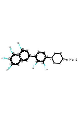 CCCCCC1CCC(c2ccc(-c3cc(F)c4c(F)c(F)c(F)cc4c3)c(F)c2F)CC1